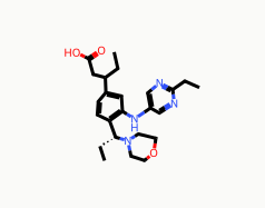 CCc1ncc(Nc2cc(C(CC)CC(=O)O)ccc2[C@@H](CC)N2CCOCC2)cn1